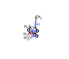 CCCCCCNCC#Cc1cccc(-c2c(NC(=O)Nc3c(C(C)C)cccc3C(C)C)c(=O)n(CCCC)c3ncccc23)c1